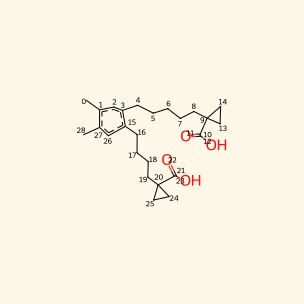 Cc1cc(CCCCCC2(C(=O)O)CC2)c(CCCCC2(C(=O)O)CC2)cc1C